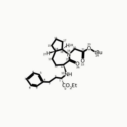 CCOC(=O)[C@H](CCc1ccccc1)N[C@H]1CC[C@@H]2CCC[C@H]2N(CC(=O)OC(C)(C)C)C1=O